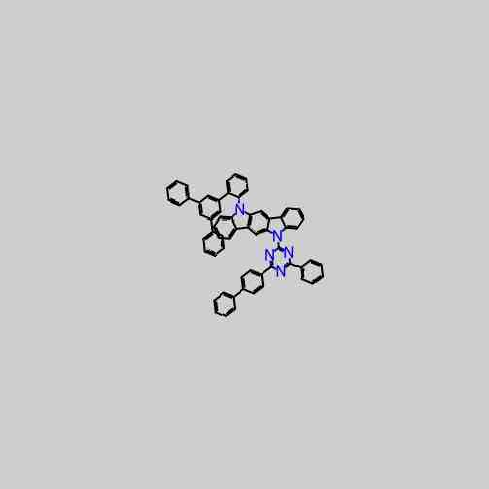 c1ccc(-c2ccc(-c3nc(-c4ccccc4)nc(-n4c5ccccc5c5cc6c(cc54)c4ccccc4n6-c4ccccc4-c4cc(-c5ccccc5)cc(-c5ccccc5)c4)n3)cc2)cc1